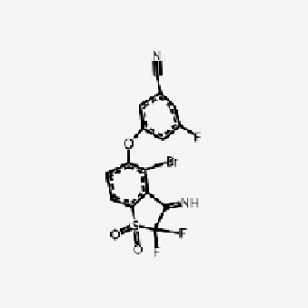 N#Cc1cc(F)cc(Oc2ccc3c(c2Br)C(=N)C(F)(F)S3(=O)=O)c1